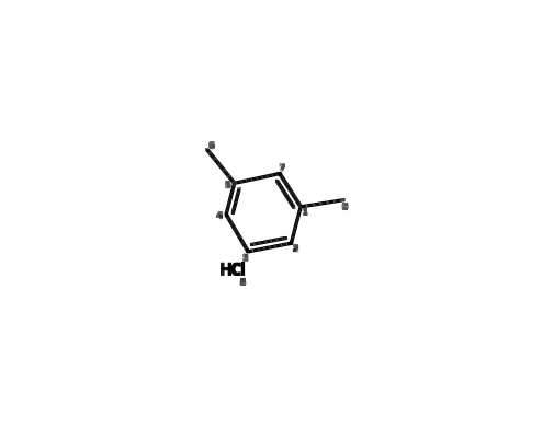 Cc1cccc(C)c1.Cl